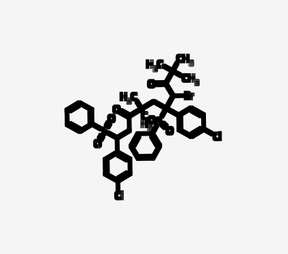 CC(C)(C)C(=O)C(Br)C(CC(C)(C)C(=O)CC(c1ccc(Cl)cc1)S(=O)(=O)c1ccccc1)(c1ccc(Cl)cc1)S(=O)(=O)c1ccccc1